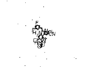 Cl.Cn1nc(NS(C)(=O)=O)c2c(Cl)ccc(-c3cc(C#N)cnc3[C@@H](N)Cc3cc(F)cc(F)c3)c21